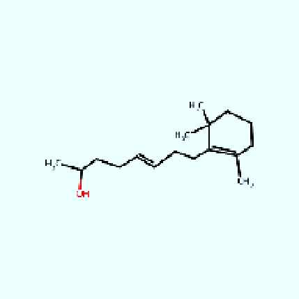 CC1=C(CCC=CCCC(C)O)C(C)(C)CCC1